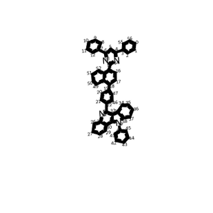 c1ccc(-c2cc(-c3ccccc3)nc(-c3ccc(-c4ccc(-c5nc6ccccc6c6c5c5ccccc5n6-c5ccccc5)cc4)c4ccccc34)n2)cc1